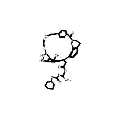 Cc1c2ccc3c1NNN3CCCOCc1ccc(cc1)C(=O)N1CCc3ccc(cc3C1)C2CC(=O)OC(C)OC(=O)OC1CCCCC1